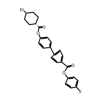 CC[C@H]1CC[C@H](C(=O)Oc2ccc(-c3ccc(C(=O)Oc4ccc(F)cc4)cc3)cc2)CC1